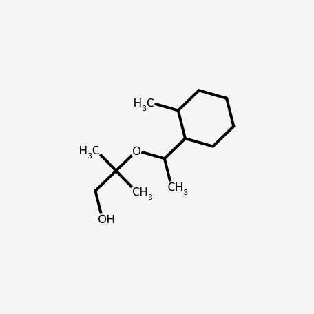 CC1CCCCC1C(C)OC(C)(C)CO